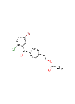 CC(=O)OCCc1ccc(C(=O)c2cc(Br)ccc2Cl)cc1